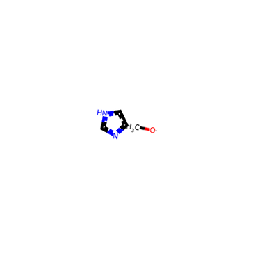 C[O].c1c[nH]cn1